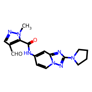 Cn1ncc(C=O)c1C(=O)Nc1ccn2nc(N3CCCC3)nc2c1